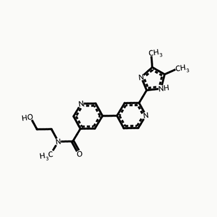 Cc1nc(-c2cc(-c3cncc(C(=O)N(C)CCO)c3)ccn2)[nH]c1C